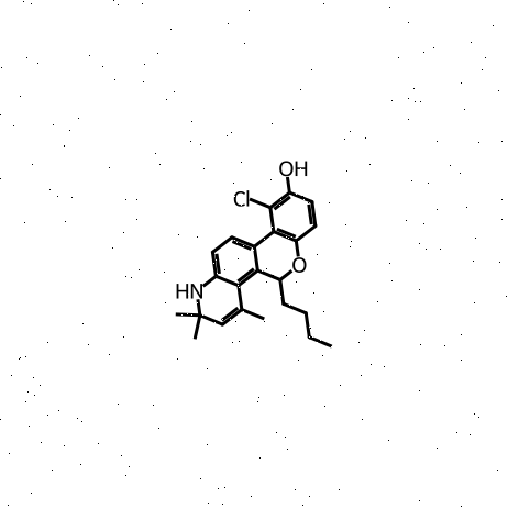 CCCCC1Oc2ccc(O)c(Cl)c2-c2ccc3c(c21)C(C)=CC(C)(C)N3